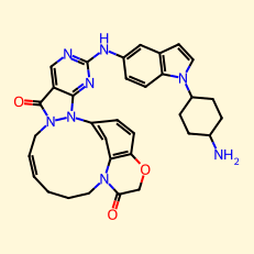 NC1CCC(n2ccc3cc(Nc4ncc5c(=O)n6n(c5n4)-c4ccc5c(c4)N(CCC/C=C\C6)C(=O)CO5)ccc32)CC1